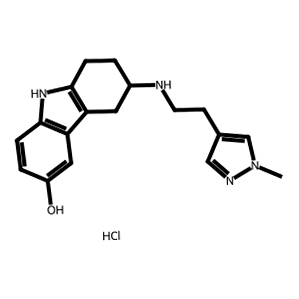 Cl.Cn1cc(CCNC2CCc3[nH]c4ccc(O)cc4c3C2)cn1